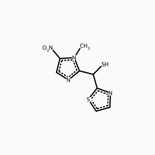 Cn1c([N+](=O)[O-])cnc1C(S)c1nccs1